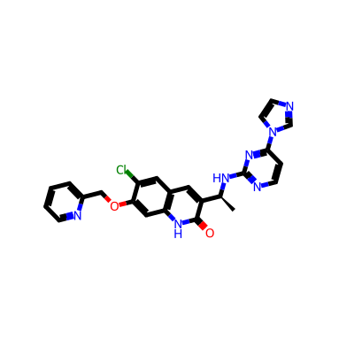 C[C@H](Nc1nccc(-n2ccnc2)n1)c1cc2cc(Cl)c(OCc3ccccn3)cc2[nH]c1=O